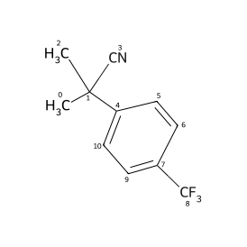 CC(C)(C#N)c1ccc(C(F)(F)F)cc1